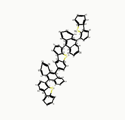 c1ccc2c(c1)sc1c(-c3c4ccccc4c(-c4ccc5sc6c(-c7c8ccccc8c(-c8cccc9c8sc8ccccc89)c8ccccc78)cccc6c5c4)c4ccccc34)cccc12